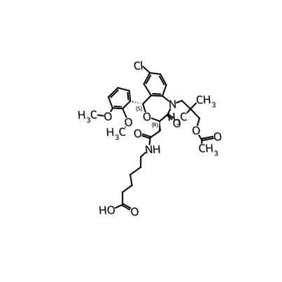 COc1cccc([C@H]2O[C@H](CC(=O)NCCCCCC(=O)O)C(=O)N(CC(C)(C)COC(C)=O)c3ccc(Cl)cc32)c1OC